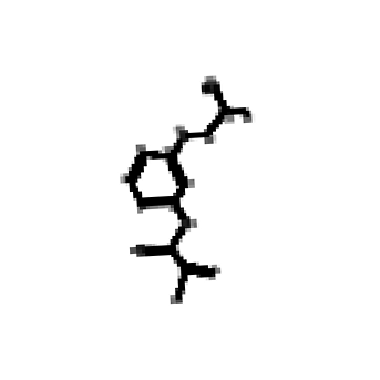 C=C(C)C(=O)Oc1cccc(OCC(C)O)c1